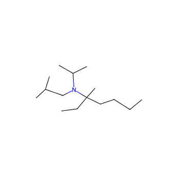 CCCCC(C)(CC)N(CC(C)C)C(C)C